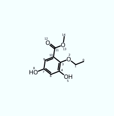 CCOc1c(O)cc(O)cc1C(=O)OC